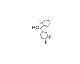 CC1(C)CCCC=C1C(O)c1ccc(F)c(F)c1